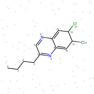 CCCCc1cnc2c(n1)=CC(Cl)C(Cl)C=2